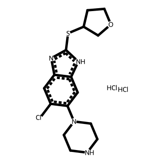 Cl.Cl.Clc1cc2nc(SC3CCOC3)[nH]c2cc1N1CCNCC1